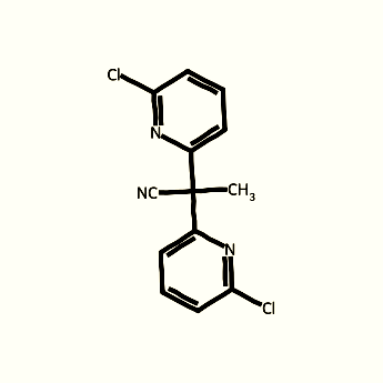 CC(C#N)(c1cccc(Cl)n1)c1cccc(Cl)n1